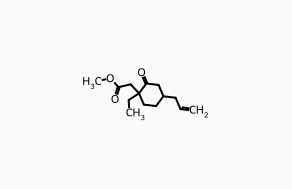 C=CCC1CCC(CC)(CC(=O)OC)C(=O)C1